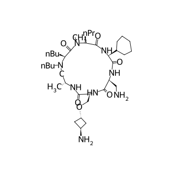 CCCC[C@H]1C(=O)N(C)[C@@H](CCC)C(=O)N[C@@H](C2CCCCC2)C(=O)N[C@@H](CN)C(=O)N[C@@H](CO[C@H]2C[C@H](N)C2)C(=O)N[C@H](C)CN1CCCC